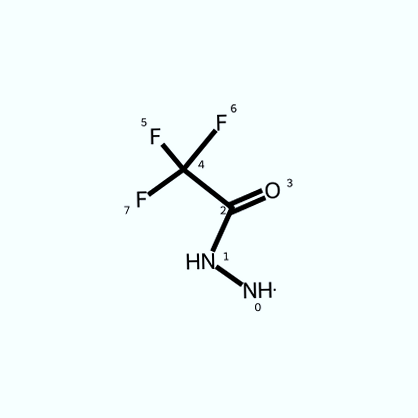 [NH]NC(=O)C(F)(F)F